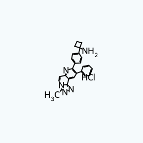 Cc1nnc2c3cc(-c4ccccc4)c(-c4ccc(C5(N)CCC5)cc4)nc3ccn12.Cl